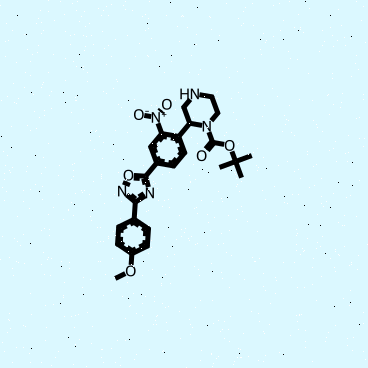 COc1ccc(-c2noc(-c3ccc(C4CNCCN4C(=O)OC(C)(C)C)c([N+](=O)[O-])c3)n2)cc1